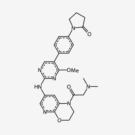 COc1nc(Nc2cnc3c(c2)N(C(=O)CN(C)C)CCO3)ncc1-c1ccc(N2CCCC2=O)cc1